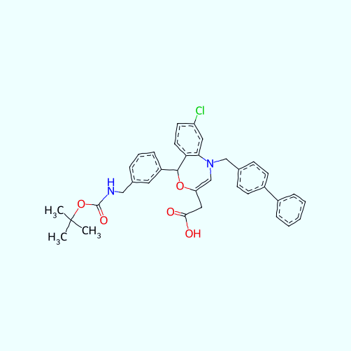 CC(C)(C)OC(=O)NCc1cccc(C2OC(CC(=O)O)=CN(Cc3ccc(-c4ccccc4)cc3)c3cc(Cl)ccc32)c1